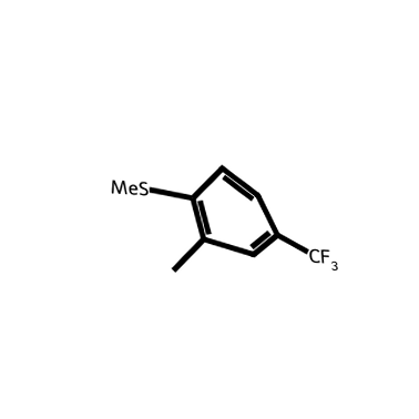 CSc1ccc(C(F)(F)F)cc1C